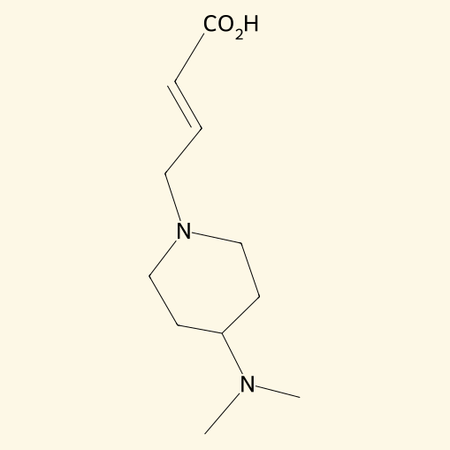 CN(C)C1CCN(C/C=C/C(=O)O)CC1